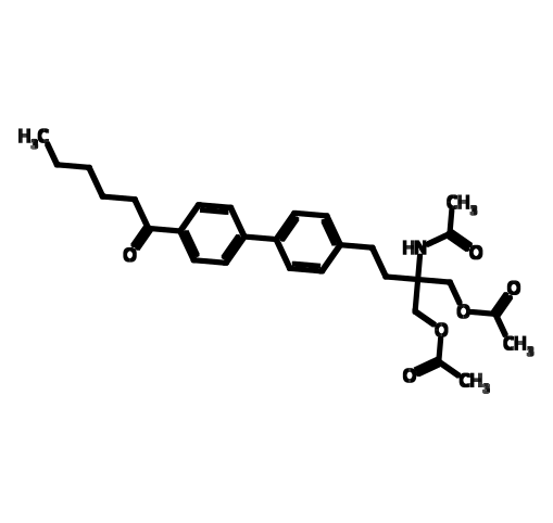 CCCCCC(=O)c1ccc(-c2ccc(CCC(COC(C)=O)(COC(C)=O)NC(C)=O)cc2)cc1